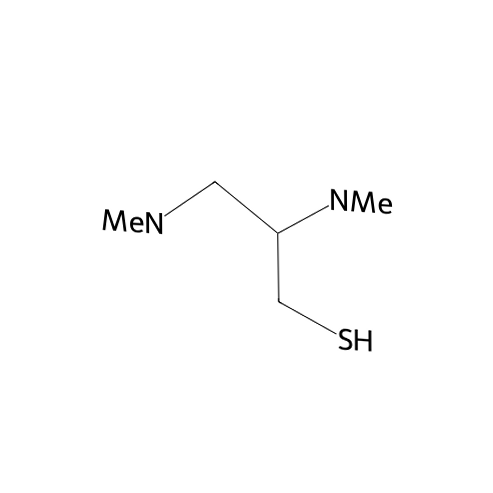 CNCC(CS)NC